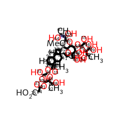 C=CC[C@@]12CC[C@H]3[C@@](C)(CCC[C@@]3(C)C(=O)OC(OC(COC(=O)CC(=O)O)[C@H](C)O)C(O)O)[C@@H]1C[C@@H]2CC1OC(CO)C(O)C(OC(OC(CO)[C@H](C)O)C(O)O)C1O[C@H](OC)/C(O)=C(/C)O